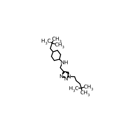 CC(C)(C)CCCn1cc(CNC2CCC(CC(C)(C)C)CC2)nn1